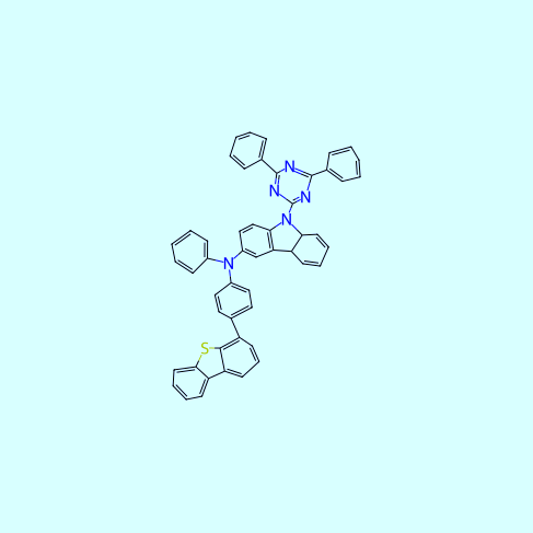 C1=CC2c3cc(N(c4ccccc4)c4ccc(-c5cccc6c5sc5ccccc56)cc4)ccc3N(c3nc(-c4ccccc4)nc(-c4ccccc4)n3)C2C=C1